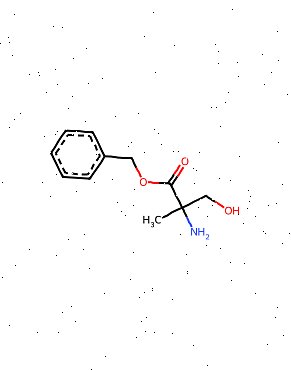 CC(N)(CO)C(=O)OCc1ccccc1